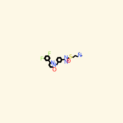 CN(C)CCCSc1nc(-c2cccc(Cn3nc(-c4cc(F)cc(F)c4)ccc3=O)c2)no1